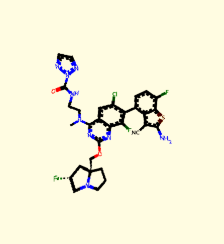 CN(CCNC(=O)n1nccn1)c1nc(OC[C@@]23CCCN2C[C@H](F)C3)nc2c(F)c(-c3ccc(F)c4sc(N)c(C#N)c34)c(Cl)cc12